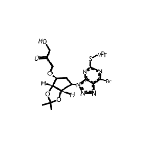 CCCSc1nc(Br)c2nnn([C@@H]3C[C@H](OCC(=O)CO)[C@H]4OC(C)(C)O[C@H]43)c2n1